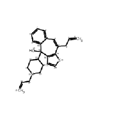 C=CCC1=Cc2ccccc2C(O)(C2CCN(CC=C)CC2)c2ccsc21